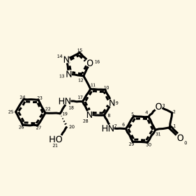 O=C1COc2cc(Nc3ncc(-c4nnco4)c(N[C@H](CO)c4ccccc4)n3)ccc21